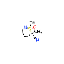 CC1(C#N)CCCN=S1(C)=O